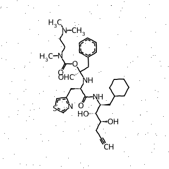 C#CC[C@H](O)[C@H](O)[C@H](CC1CCCCC1)NC(=O)[C@@H](Cc1cscn1)N[C@](C=O)(Cc1ccccc1)OC(=O)N(C)CCN(C)C